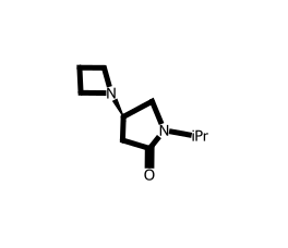 CC(C)N1C[C@H](N2CCC2)CC1=O